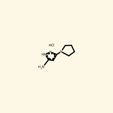 Cl.Nc1cc(N2CCCC2)n[nH]1